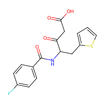 O=C(O)CC(=O)C(Cc1cccs1)NC(=O)c1ccc(F)cc1